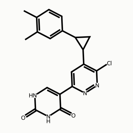 Cc1ccc(C2CC2c2cc(-c3c[nH]c(=O)[nH]c3=O)nnc2Cl)cc1C